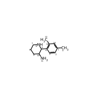 Cc1ccc(C2NCCCC2N)c(C)c1